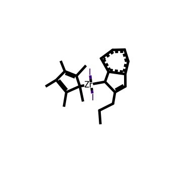 CCCC1=Cc2ccccc2[CH]1[Zr]([I])([I])[C]1(C)C(C)=C(C)C(C)=C1C